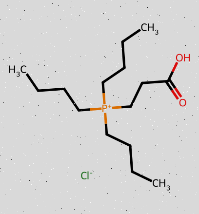 CCCC[P+](CCCC)(CCCC)CCC(=O)O.[Cl-]